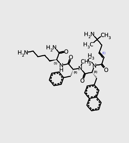 CN(C(=O)/C=C/CC(C)(C)N)[C@H](Cc1ccc2ccccc2c1)C(=O)N(C)[C@H](Cc1ccccc1)C(=O)N[C@@H](CCCCN)C(N)=O